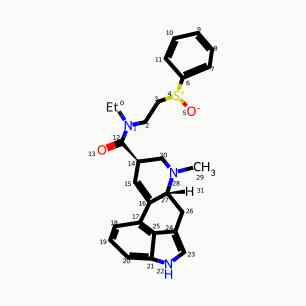 CCN(CC[S+]([O-])c1ccccc1)C(=O)[C@@H]1C=C2c3cccc4[nH]cc(c34)C[C@H]2N(C)C1